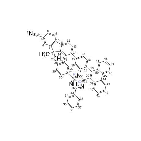 CC1(C)c2cc(C#N)ccc2-c2ccc(-c3ccc(-c4c(C(/N=C(\N)c5ccccc5)=N/Cc5ccccc5)c5ccccc5c5ccccc45)cc3)cc21